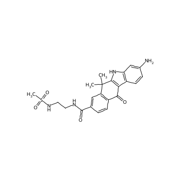 CC1(C)c2cc(C(=O)NCCNS(C)(=O)=O)ccc2C(=O)c2c1[nH]c1cc(N)ccc21